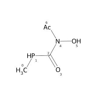 CPC(=O)N(O)C(C)=O